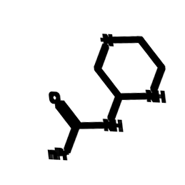 CCCC(=O)NC1C[N]CCN1